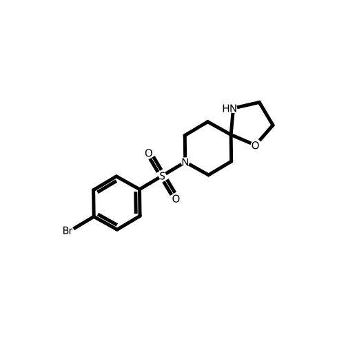 O=S(=O)(c1ccc(Br)cc1)N1CCC2(CC1)NCCO2